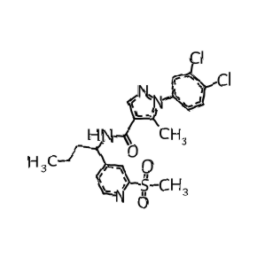 CCCC(NC(=O)c1cnn(-c2ccc(Cl)c(Cl)c2)c1C)c1ccnc(S(C)(=O)=O)c1